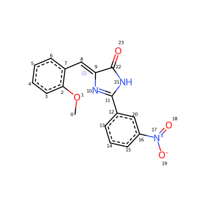 COc1ccccc1/C=C1\N=C(c2cccc([N+](=O)[O-])c2)NC1=O